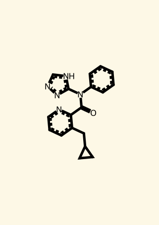 O=C(c1ncccc1CC1CC1)N(c1ccccc1)c1nnc[nH]1